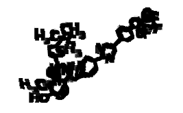 C[C@@H](NC(=O)[C@H](Cc1ccc(-c2ncc(-c3ccc(OS(=O)(=O)C(F)(F)F)cc3)cn2)cc1)NC(=O)c1ccc(C(C)(C)C)s1)C(=O)O